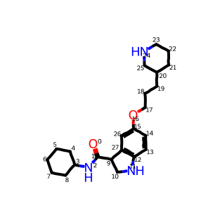 O=C(NC1CCCCC1)C1CNc2ccc(OCCCC3CCCNC3)cc21